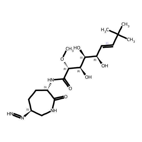 CO[C@@H](C(=O)N[C@H]1CC[C@H](N=N)CNC1=O)[C@H](O)[C@@H](O)[C@H](O)/C=C/C(C)(C)C